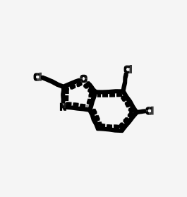 Clc1nc2ccc(Cl)c(Cl)c2o1